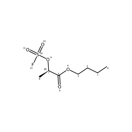 CCCCOC(=O)[C@@H](C)OS(=O)(=O)F